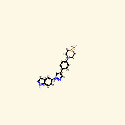 [O-][S+]1CCN(c2ccc(-c3cnn(-c4ccc5[nH]ccc5c4)c3)cc2)CC1